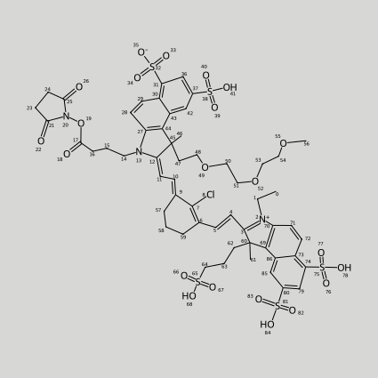 CC[N+]1=C(/C=C/C2=C(Cl)C(=C/C=C3/N(CCCC(=O)ON4C(=O)CCC4=O)c4ccc5c(S(=O)(=O)[O-])cc(S(=O)(=O)O)cc5c4C3(C)CCOCCOCCOC)/CCC2)C(C)(CCCS(=O)(=O)O)c2c1ccc1c(S(=O)(=O)O)cc(S(=O)(=O)O)cc21